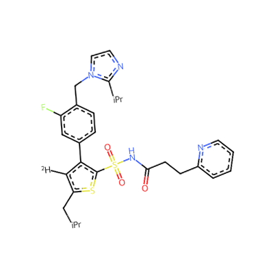 [2H]c1c(CC(C)C)sc(S(=O)(=O)NC(=O)CCc2ccccn2)c1-c1ccc(Cn2ccnc2C(C)C)c(F)c1